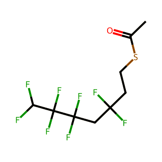 CC(=O)SCCC(F)(F)CC(F)(F)C(F)(F)C(F)F